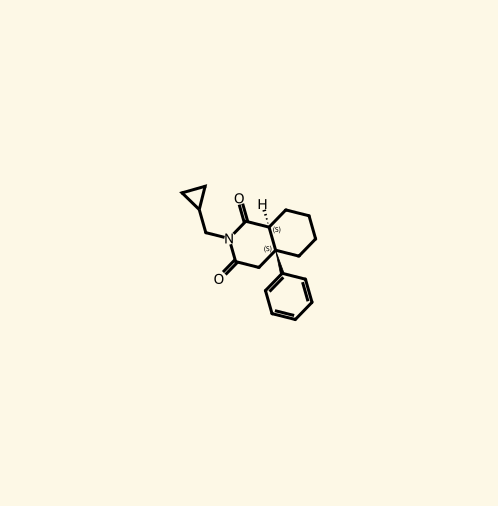 O=C1C[C@@]2(c3ccccc3)CCCC[C@@H]2C(=O)N1CC1CC1